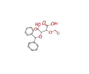 O=COC(C(=O)O)C(OC(c1ccccc1)c1ccccc1)C(=O)O